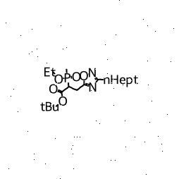 CCCCCCCc1noc(CC(C(=O)OC(C)(C)C)P(C)(=O)OCC)n1